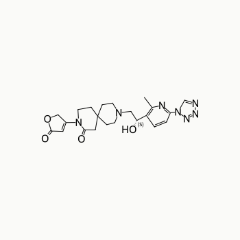 Cc1nc(-n2cnnn2)ccc1[C@H](O)CN1CCC2(CC1)CCN(C1=CC(=O)OC1)C(=O)C2